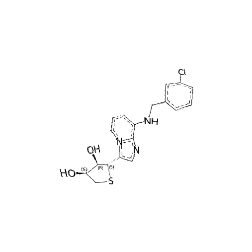 O[C@@H]1[C@H](O)CS[C@H]1c1cnc2c(NCc3cccc(Cl)c3)cccn12